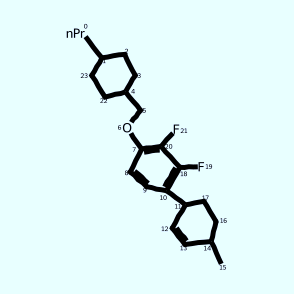 CCCC1CCC(COc2ccc(C3C=CC(C)CC3)c(F)c2F)CC1